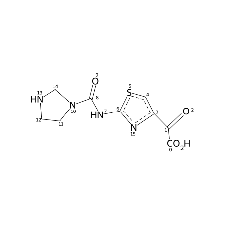 O=C(O)C(=O)c1csc(NC(=O)N2CCNC2)n1